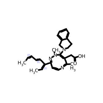 C\C=C/C=C/C(=C\C)c1ccnc(C)c(CC(=O)O)c(N2CCc3ccccc3C2)n(C)n1